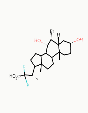 CC[C@H]1[C@@H](O)C2C3CCC([C@H](C)C(F)(F)C(=O)O)[C@@]3(C)CCC2[C@@]2(C)CC[C@@H](O)C[C@@H]12